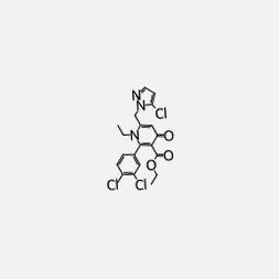 CCOC(=O)c1c(-c2ccc(Cl)c(Cl)c2)n(CC)c(Cn2nccc2Cl)cc1=O